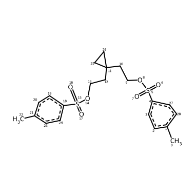 Cc1ccc(S(=O)(=O)OCCC2(CCOS(=O)(=O)c3ccc(C)cc3)CC2)cc1